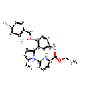 CCOC(=O)c1cccc(-n2c(C)ccc2-c2cc(Cl)ccc2OCc2ccc(F)cc2Cl)n1